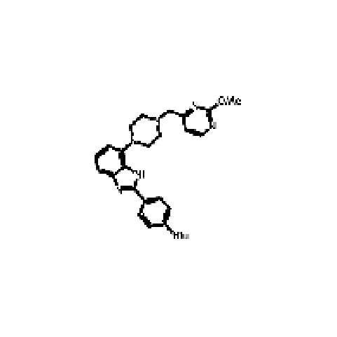 COc1nccc(CN2CCN(c3cccc4nc(-c5ccc(C(C)(C)C)cc5)[nH]c34)CC2)n1